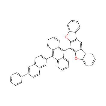 c1ccc(-c2ccc3cc(-c4c5ccccc5c(-c5c6oc7ccccc7c6cc6c5oc5ccccc56)c5ccccc45)ccc3c2)cc1